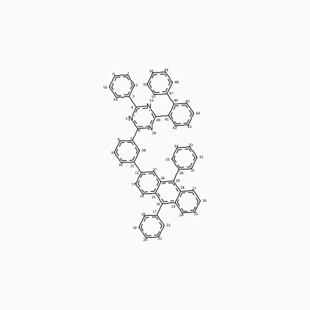 c1ccc(-c2nc(-c3cccc(-c4ccc5c(-c6ccccc6)c6ccccc6c(-c6ccccc6)c5c4)c3)nc(-c3ccccc3-c3ccccc3)n2)cc1